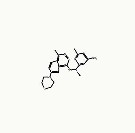 Cc1cc(N)cc([C@@H](C)Nc2nnc(C)c3ccc(N4CCOCC4)cc23)n1